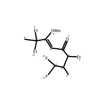 CCC(C(=O)/C=C(\OC)C(C)(CC)CC)C(C)C(F)F